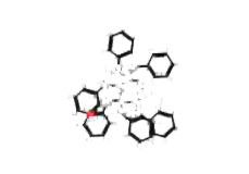 c1ccc(NN2[SiH2]N[Si](Nc3ccccc3)(Nc3ccccc3)N(Nc3ccccc3)[Si]2(Nc2ccccc2)Nc2ccccc2)cc1